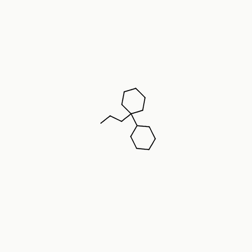 CCCC1([C]2CCCCC2)CCCCC1